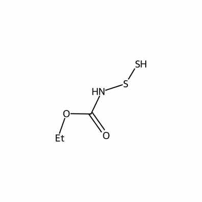 CCOC(=O)NSS